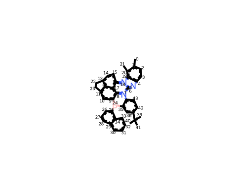 Cc1ccc2nc3n4c5c(cc6c7c(ccc(c75)n3c2c1C)CC6)B(c1cccc2ccccc12)c1cc(C(C)(C)C)ccc1-4